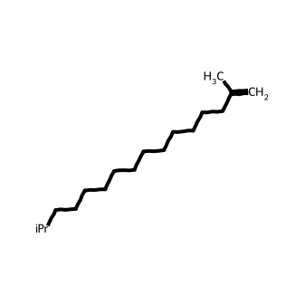 C=C(C)CCCCCCCCCCCCC(C)C